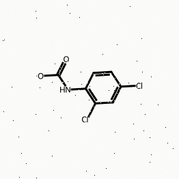 [O]C(=O)Nc1ccc(Cl)cc1Cl